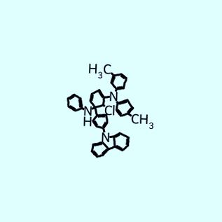 Cc1ccc(N(C2=CC=CC(Nc3ccccc3)(c3ccc(-n4c5ccccc5c5ccccc54)cc3)C2Cl)c2cccc(C)c2)cc1